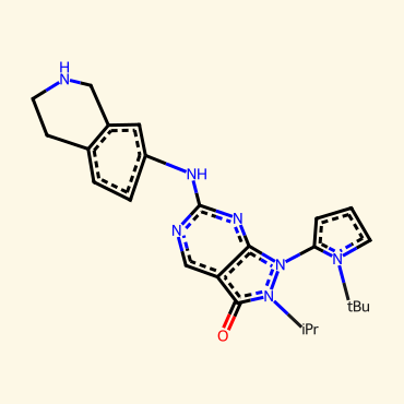 CC(C)n1c(=O)c2cnc(Nc3ccc4c(c3)CNCC4)nc2n1-c1cccn1C(C)(C)C